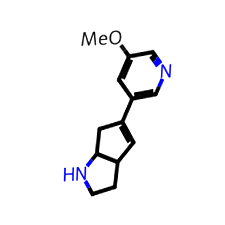 COc1cncc(C2=CC3CCNC3C2)c1